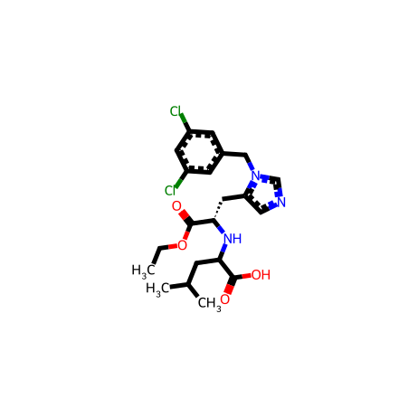 CCOC(=O)[C@H](Cc1cncn1Cc1cc(Cl)cc(Cl)c1)NC(CC(C)C)C(=O)O